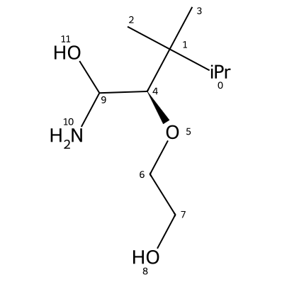 CC(C)C(C)(C)[C@@H](OCCO)C(N)O